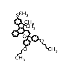 CCCCOc1ccc(C2(c3ccc(OCCCC)cc3)C=Cc3c4c(c5ccccc5c3O2)-c2ccc(SC)cc2C4(C)C)cc1